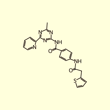 Cc1nc(NC(=O)c2ccc(NC(=O)Cc3cccs3)cc2)nc(-c2ccccn2)n1